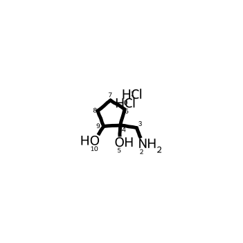 Cl.Cl.NCC1(O)CCCC1O